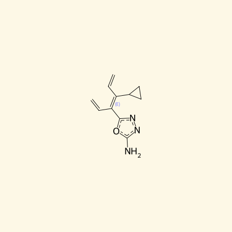 C=C/C(=C(\C=C)C1CC1)c1nnc(N)o1